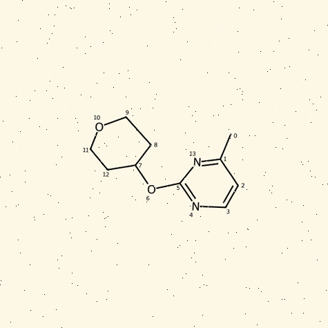 Cc1ccnc(OC2CCOCC2)n1